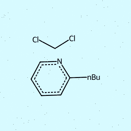 CCCCc1ccccn1.ClCCl